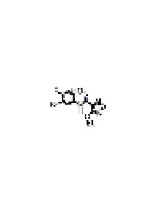 CCOc1nonc1/C(=N/O)Nc1ccc(F)c(Br)c1